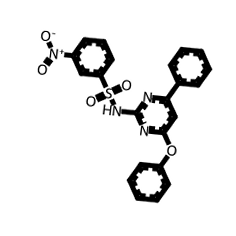 O=[N+]([O-])c1cccc(S(=O)(=O)Nc2nc(Oc3ccccc3)cc(-c3ccccc3)n2)c1